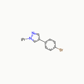 CC(C)n1cc(-c2ccc(Br)cc2)cn1